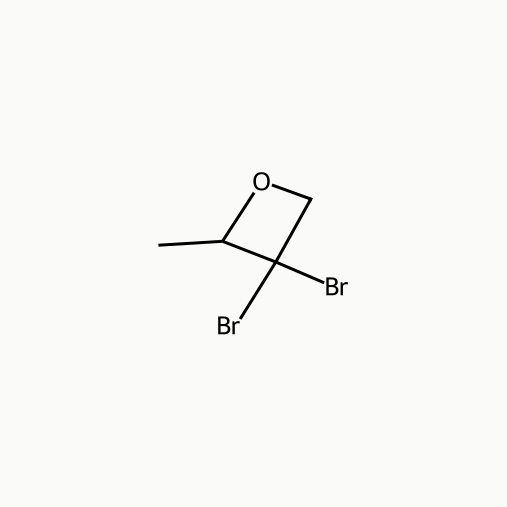 CC1OCC1(Br)Br